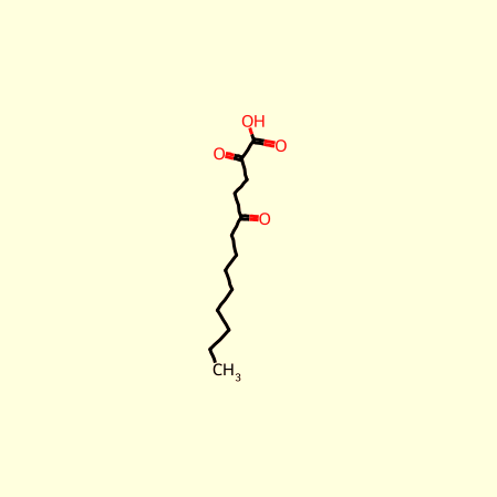 CCCCCCCCC(=O)CCC(=O)C(=O)O